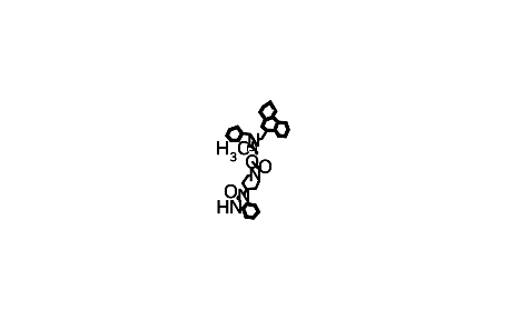 C[C@@H](COC(=O)N1CCC(n2c(=O)[nH]c3ccccc32)CC1)N(Cc1ccccc1)Cc1cc2ccccc2c2ccccc12